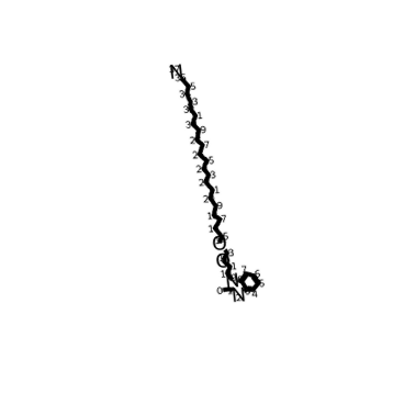 Cc1nc2ccccc2n1CCOCOCCCCCCCCCCCCCCCCCCCCCC#N